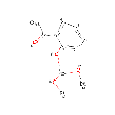 CCCCCCCCC(=O)c1ccccc1OC(OCC)OCC